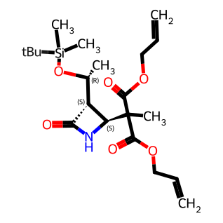 C=CCOC(=O)C(C)(C(=O)OCC=C)[C@H]1NC(=O)[C@@H]1[C@@H](C)O[Si](C)(C)C(C)(C)C